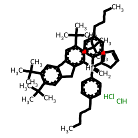 Cl.Cl.[CH2]=[Hf]([C]1=CC=CC1)([c]1ccc(CCCC)cc1)([c]1ccc(CCCC)cc1)[c]1c2c(cc(C(C)(C)C)c1C(C)(C)C)-c1cc(C(C)(C)C)c(C(C)(C)C)cc1C2